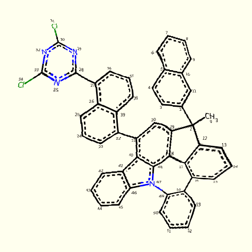 CC1(c2ccc3ccccc3c2)c2cccc3c2-c2c1cc(-c1cccc4c(-c5nc(Cl)nc(Cl)n5)cccc14)c1c4ccccc4n(c21)-c1ccccc1-3